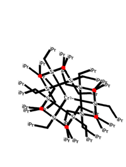 CC(C)C[Si](CC(C)C)(CC(C)C)[C]([Cr+3]([C]([Si](CC(C)C)(CC(C)C)CC(C)C)([Si](CC(C)C)(CC(C)C)CC(C)C)[Si](CC(C)C)(CC(C)C)CC(C)C)[C]([Si](CC(C)C)(CC(C)C)CC(C)C)([Si](CC(C)C)(CC(C)C)CC(C)C)[Si](CC(C)C)(CC(C)C)CC(C)C)([Si](CC(C)C)(CC(C)C)CC(C)C)[Si](CC(C)C)(CC(C)C)CC(C)C